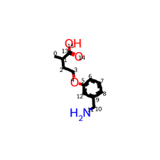 CC(CCOc1cccc(CN)c1)C(=O)O